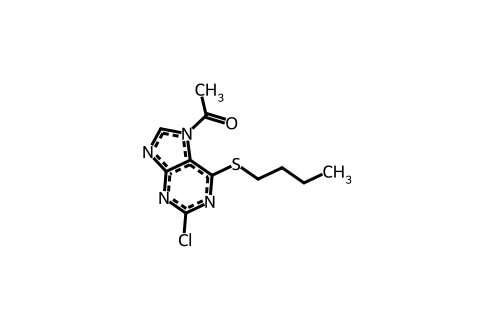 CCCCSc1nc(Cl)nc2ncn(C(C)=O)c12